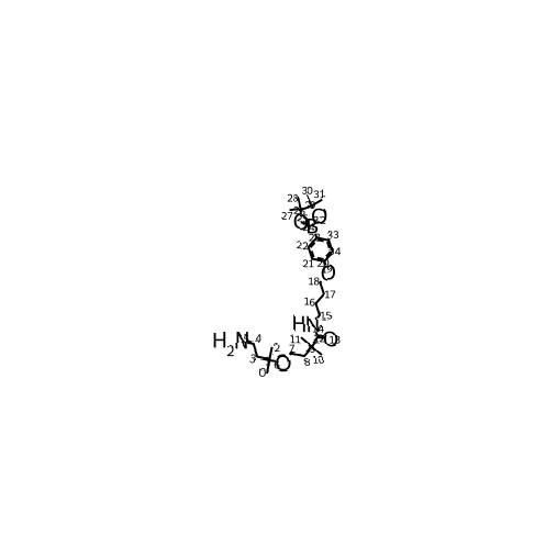 CC(C)(CCN)OCCC(C)(C)C(=O)NCCCCOc1ccc(B2OC(C)(C)C(C)(C)O2)cc1